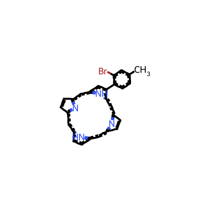 Cc1ccc(-c2cc3cc4nc(cc5ccc(cc6nc(cc2[nH]3)C=C6)[nH]5)C=C4)c(Br)c1